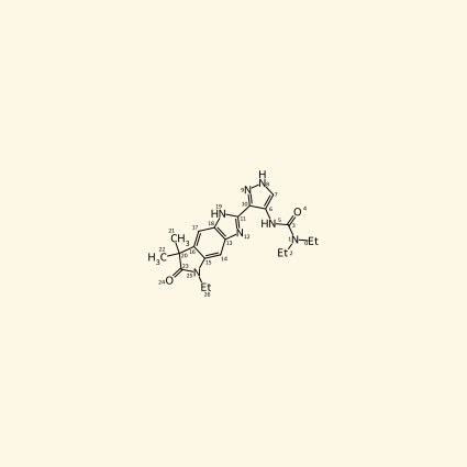 CCN(CC)C(=O)Nc1c[nH]nc1-c1nc2cc3c(cc2[nH]1)C(C)(C)C(=O)N3CC